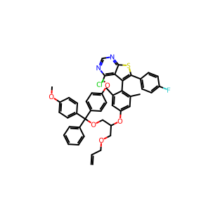 C=CCOCC(COC(c1ccccc1)(c1ccc(OC)cc1)c1ccc(OC)cc1)Oc1cc(C)c(-c2c(-c3ccc(F)cc3)sc3ncnc(Cl)c23)c(C)c1